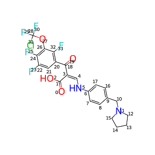 O=C(O)C(=CNc1ccc(CN2CCCC2)cc1)C(=O)c1cc(F)c(F)c(OC(F)(F)Cl)c1F